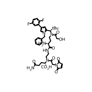 CC(C)(C)[C@H](c1cc(-c2cc(F)ccc2F)cn1Cc1ccccc1)N(CC[C@H](N)C(=O)NCCN(C(=O)CN1C(=O)C=CC1=O)[C@@H](CCC(N)=O)C(=O)O)C(=O)CO